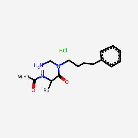 CCC(C)C(NC(=O)OC)C(=O)N(CN)CCCCc1ccccc1.Cl